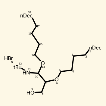 Br.CCCCCCCCCCCCCCOC(CO)C(NC(C)(C)C)OCCCCCCCCCCCCCC